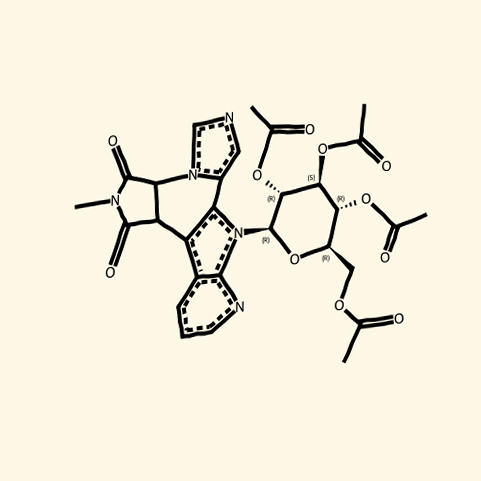 CC(=O)OC[C@H]1O[C@@H](n2c3c(c4cccnc42)C2C(=O)N(C)C(=O)C2n2cncc2-3)[C@H](OC(C)=O)[C@@H](OC(C)=O)[C@@H]1OC(C)=O